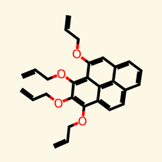 C=CCOc1c(OCC=C)c2ccc3cccc4cc(OCC=C)c(c1OCC=C)c2c34